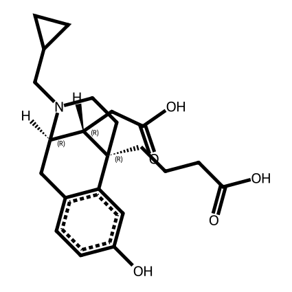 O=C(O)CCC[C@]12CCN(CC3CC3)[C@H](Cc3ccc(O)cc31)[C@@H]2CC(=O)O